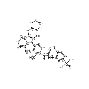 Cc1cc(-c2c(Cl)c(CN3CCOCC3)n3ncnc(N)c23)ccc1NC(=O)Nc1cc(C(F)(F)F)ccc1F